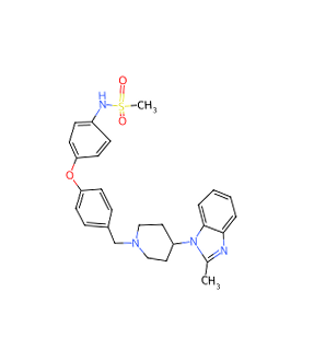 Cc1nc2ccccc2n1C1CCN(Cc2ccc(Oc3ccc(NS(C)(=O)=O)cc3)cc2)CC1